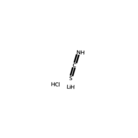 Cl.N=C=S.[LiH]